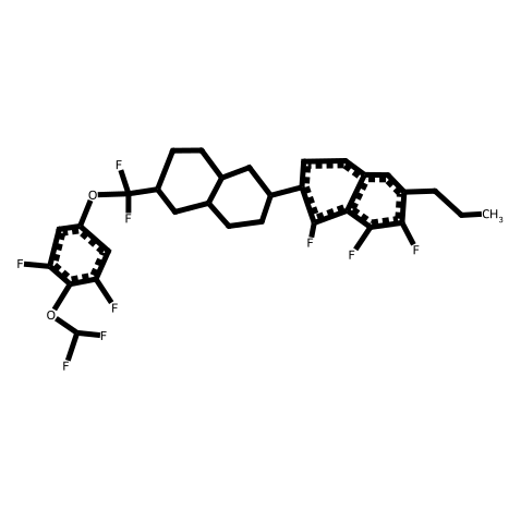 CCCc1cc2ccc(C3CCC4CC(C(F)(F)Oc5cc(F)c(OC(F)F)c(F)c5)CCC4C3)c(F)c2c(F)c1F